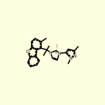 Cc1cc(N2C=CN(C(C)(C)c3c(C)ccc4oc5ccccc5c34)[C@@H]2C)n(C)n1